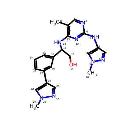 Cc1cnc(Nc2cnn(C)c2)nc1NC(CO)c1cccc(-c2cnn(C)c2)c1